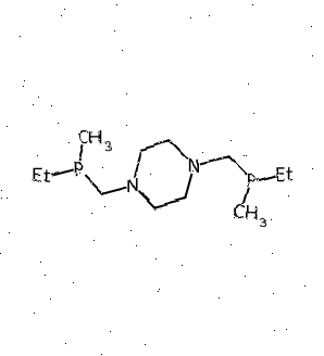 CCP(C)CN1CCN(CP(C)CC)CC1